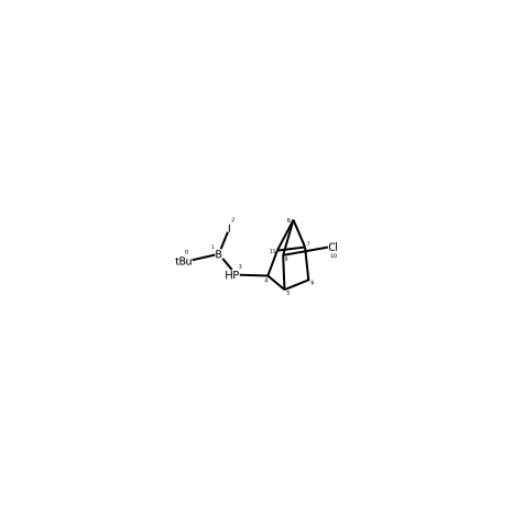 CC(C)(C)B(I)PC1C2CC3C(C2Cl)C31